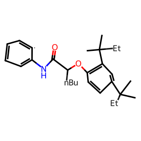 CCCCC(Oc1ccc(C(C)(C)CC)cc1C(C)(C)CC)C(=O)Nc1[c]cccc1